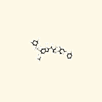 Cc1cc(Oc2ccccc2F)ncc1-n1ncc(C(=O)c2cc3cc(OCC(F)F)c(NS(=O)(=O)c4cc(F)cc(F)c4)cc3[nH]2)c1N